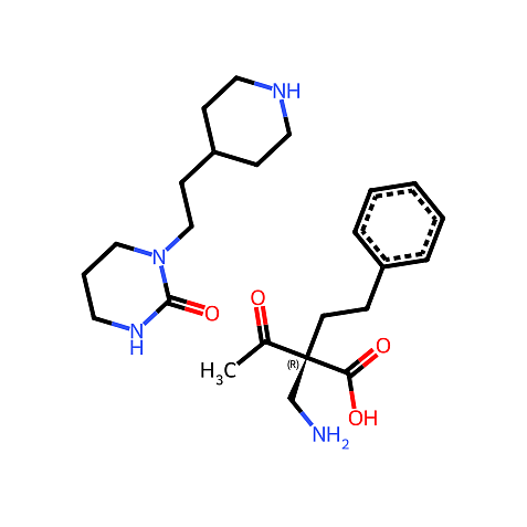 CC(=O)[C@](CN)(CCc1ccccc1)C(=O)O.O=C1NCCCN1CCC1CCNCC1